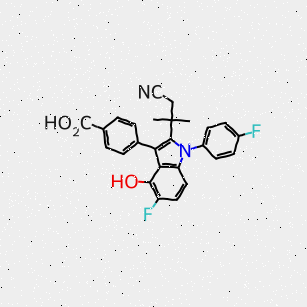 CC(C)(CC#N)c1c(-c2ccc(C(=O)O)cc2)c2c(O)c(F)ccc2n1-c1ccc(F)cc1